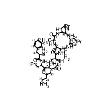 CC(C)C[C@@H]1NC(=O)[C@H](C)NC(=O)C(NC(=O)[C@H](CO)NC2OC2[C@@H](CCCCN)NC(=O)[C@@H](CC(C)C)NC(=O)[C@@H](N)Cc2ccccc2)[C@H](C)NC(=O)[C@H](CC(C)C)NC1=O